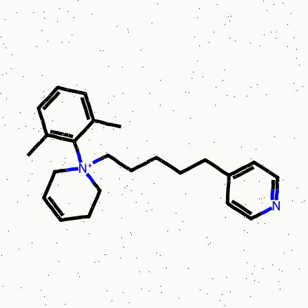 Cc1cccc(C)c1[N+]1(CCCCCc2ccncc2)CC=CCC1